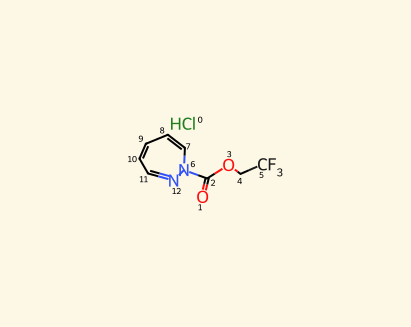 Cl.O=C(OCC(F)(F)F)N1C=CC=CC=N1